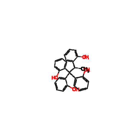 CC(c1ccccc1O)C(c1ccccc1O)(c1ccccc1O)c1ccccc1O